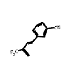 C=C(/C=C/c1cccc(C#N)c1)C(F)(F)F